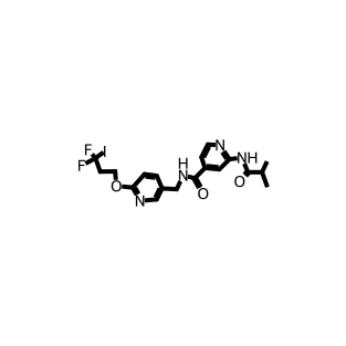 CC(C)C(=O)Nc1cc(C(=O)NCc2ccc(OCCC(F)(F)I)nc2)ccn1